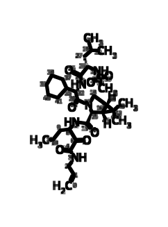 C=CCNC(=O)C(=O)C(CCC)NC(=O)[C@@H]1[C@@H]2[C@H](CN1C(=O)[C@@H](NC(=O)[C@H](CC(C)C)NS(C)(=O)=O)C1CCCCC1)C2(C)C